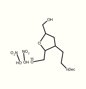 CCCCCCCCCCCCC1CC(CO)OC1CO.O=[N+]([O-])O.O=[N+]([O-])O